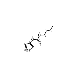 CCCCOC(=O)Oc1ccsc1